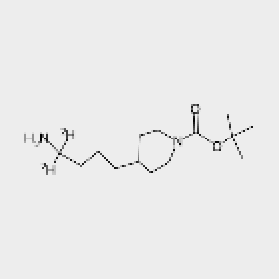 [2H]C([2H])(N)CCCC1CCN(C(=O)OC(C)(C)C)CC1